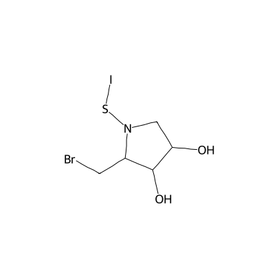 OC1CN(SI)C(CBr)C1O